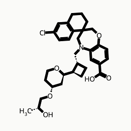 C[C@@H](O)CO[C@@H]1CCO[C@@H]([C@@H]2CC[C@H]2CN2CC3(CCCc4cc(Cl)ccc43)COc3ccc(C(=O)O)cc32)C1